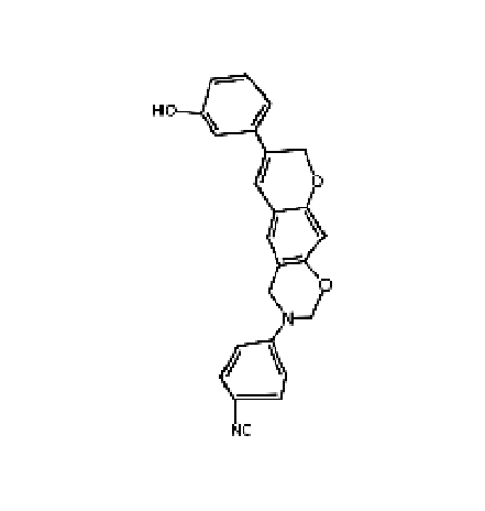 [C-]#[N+]c1ccc(N2COc3cc4c(cc3C2)C=C(c2cccc(O)c2)CO4)cc1